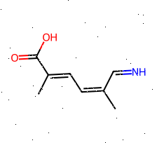 C/C(C=N)=C/C=C(\C)C(=O)O